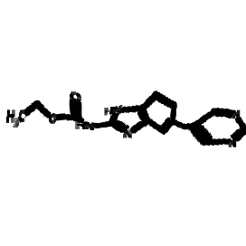 CCOC(=O)Nc1nc2cc(-c3cncnc3)ccc2[nH]1